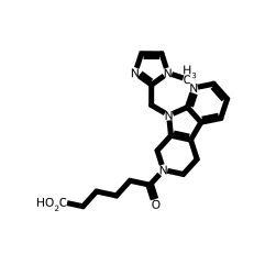 Cn1ccnc1Cn1c2c(c3cccnc31)CCN(C(=O)CCCCC(=O)O)C2